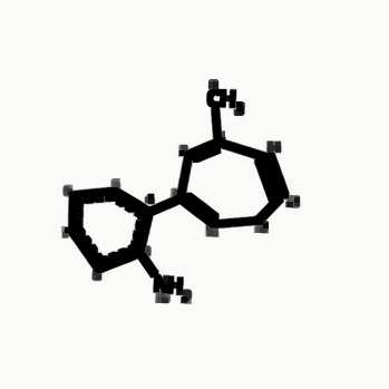 CC1=CC(c2ccccc2N)=CCC#C1